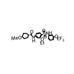 CCOc1cc(NC(=O)[C@H]2CC[C@@H](OC)CC2)ccc1S(=O)(=O)Nc1cccc(OC(F)(F)F)c1